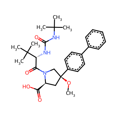 CO[C@@]1(c2ccc(-c3ccccc3)cc2)C[C@@H](C(=O)O)N(C(=O)[C@@H](NC(=O)NC(C)(C)C)C(C)(C)C)C1